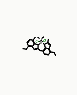 CCc1ccc(C)c2c1C=C(C)[CH]2[Zr]([Cl])([Cl])([CH]1C(C)=Cc2c(CC)ccc(C)c21)=[Si](C)C